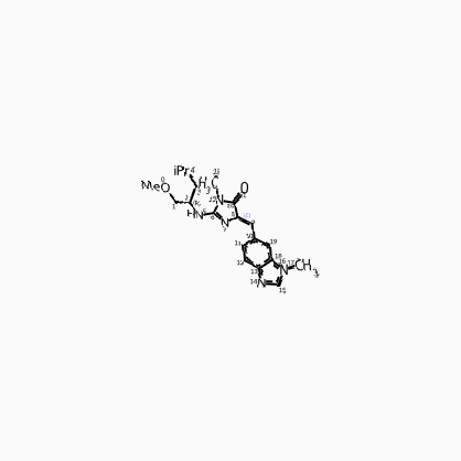 COC[C@@H](CC(C)C)NC1=N/C(=C\c2ccc3ncn(C)c3c2)C(=O)N1C